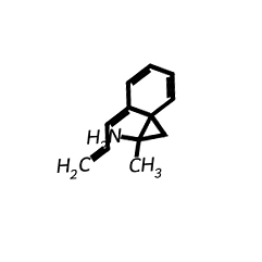 C=C/C=C1/C=CC=CC12CC2(C)N